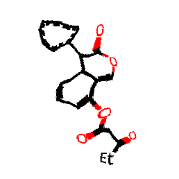 CCC(=O)C(=O)OC1=CC=CC2C1=COC(=O)C2c1ccccc1